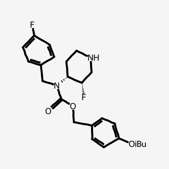 CC(C)COc1ccc(COC(=O)N(Cc2ccc(F)cc2)[C@@H]2CCNC[C@@H]2F)cc1